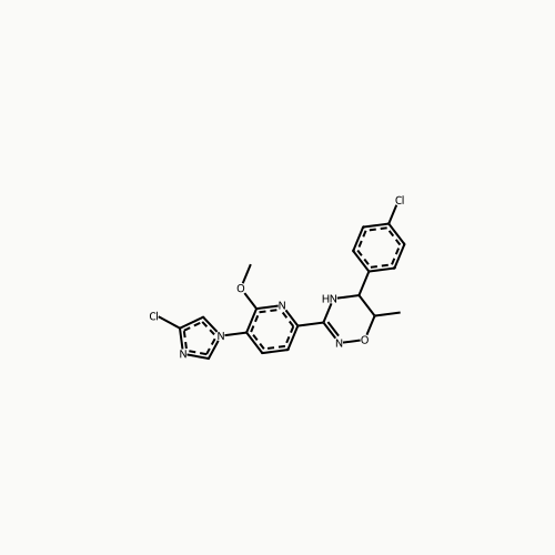 COc1nc(C2=NOC(C)C(c3ccc(Cl)cc3)N2)ccc1-n1cnc(Cl)c1